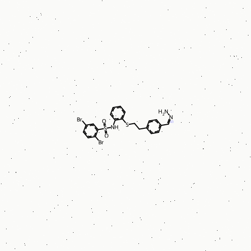 N/N=C\c1ccc(CCSc2ccccc2NS(=O)(=O)c2cc(Br)ccc2Br)cc1